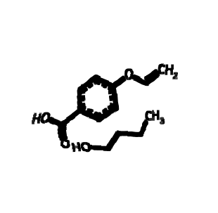 C=COc1ccc(C(=O)O)cc1.CCCCO